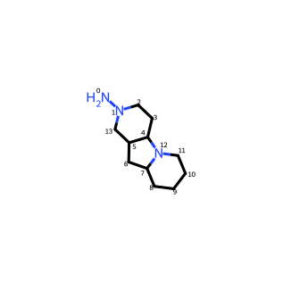 NN1CCC2C(CC3CCCCN32)C1